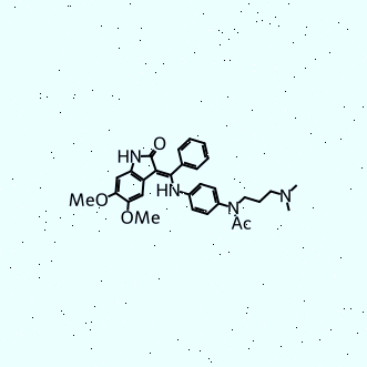 COc1cc2c(cc1OC)C(=C(Nc1ccc(N(CCCN(C)C)C(C)=O)cc1)c1ccccc1)C(=O)N2